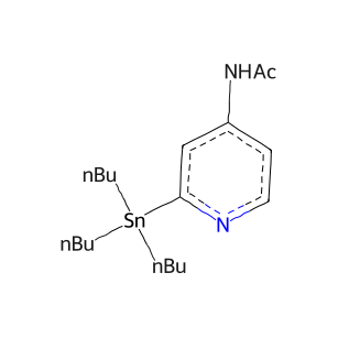 CCC[CH2][Sn]([CH2]CCC)([CH2]CCC)[c]1cc(NC(C)=O)ccn1